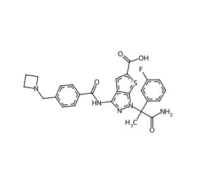 CC(C(N)=O)(c1cccc(F)c1)n1nc(NC(=O)c2ccc(CN3CCC3)cc2)c2cc(C(=O)O)sc21